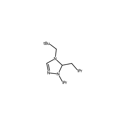 CC(C)CC1N(CC(C)(C)C)C=NN1C(C)C